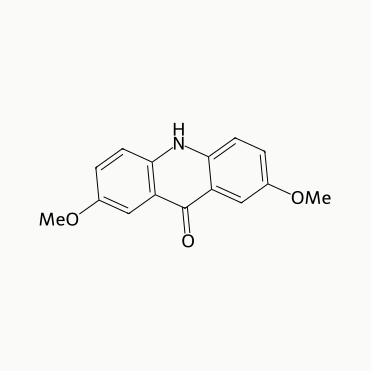 COc1ccc2[nH]c3ccc(OC)cc3c(=O)c2c1